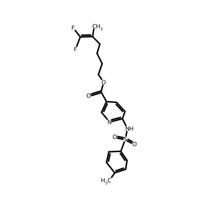 CC(CCCCOC(=O)c1ccc(NS(=O)(=O)c2ccc(C)cc2)nc1)=C(F)F